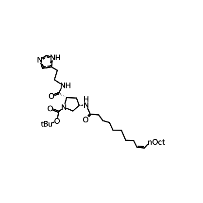 CCCCCCCC/C=C\CCCCCCCC(=O)N[C@H]1C[C@@H](C(=O)NCCc2cnc[nH]2)N(C(=O)OC(C)(C)C)C1